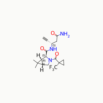 C#C[C@H](CC(N)=O)NC(=O)[C@@H]1[C@@H]2[C@H](CN1C(=O)C1(C(F)(F)F)CC1)C2(C)C